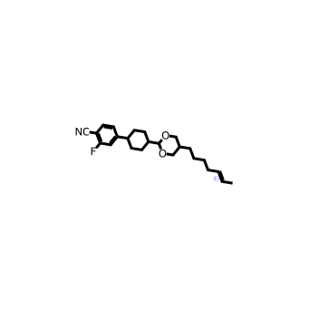 C/C=C/CCCCC1COC(C2CCC(c3ccc(C#N)c(F)c3)CC2)OC1